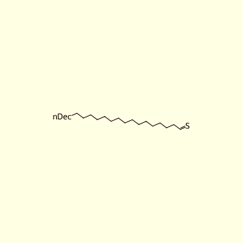 CCCCCCCCCCCCCCCCCCCCCCCCCC=S